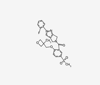 CC1(COc2ccc(S(C)(=O)=O)cc2C(=O)N2Cc3cn(-c4ccccc4F)nc3C2)COC1